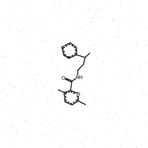 Cc1ccc(C)c(C(=O)NCCC(C)c2ccccc2)n1